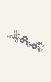 CC(C)Oc1ccc(-c2ncc(-c3cccc4c3CC[C@H]4NC(=O)[C@H](N)CO)s2)cc1N